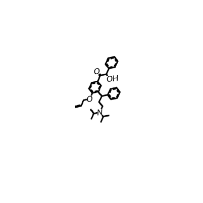 C=CCOc1ccc(C(=O)C(O)c2ccccc2)cc1C(CCN(C(C)C)C(C)C)c1ccccc1